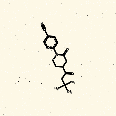 CC(C)(C)OC(=O)N1CCN(c2ccc(C#N)cc2)C(=O)C1